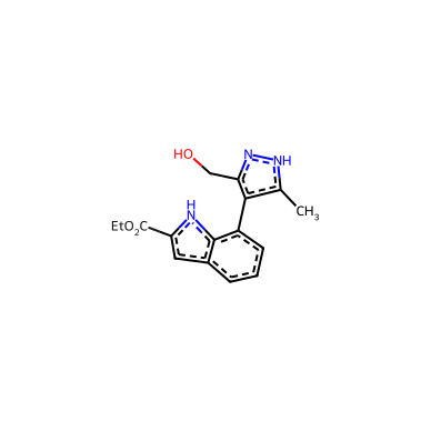 CCOC(=O)c1cc2cccc(-c3c(CO)n[nH]c3C)c2[nH]1